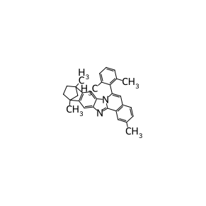 Cc1ccc2cc(-c3c(C)cccc3C)n3c4cc5c(cc4nc3c2c1)C1(C)CCC5(C)C1